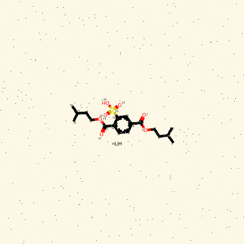 CC(C)CCOC(=O)c1ccc(C(=O)OCCC(C)C)c(S(=O)(=O)O)c1.[LiH]